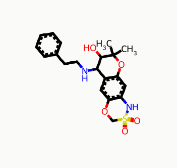 CC1(C)Oc2cc3c(cc2C(NCCc2ccccc2)C1O)OCS(=O)(=O)N3